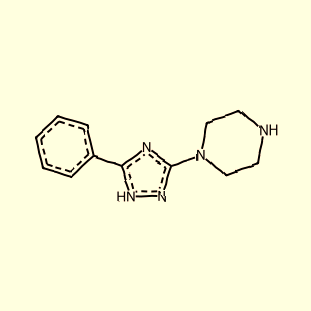 c1ccc(-c2nc(N3CCNCC3)n[nH]2)cc1